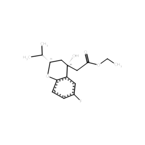 CCOC(=O)C[C@]1(O)C[C@@H](C(C)C)Oc2ccc(F)cc21